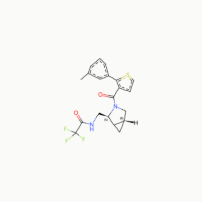 Cc1cccc(-c2sccc2C(=O)N2C[C@@H]3CC3[C@H]2CNC(=O)C(F)(F)F)c1